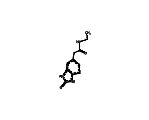 CCNC(=O)Cc1ccc2[nH]c(=O)[nH]c2c1